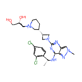 C[C@@H](Nc1nc(N2CC([C@H]3CCCN(C[C@@H](O)CO)C3)C2)nc2cn(C)nc12)c1ccc(Cl)cc1Cl